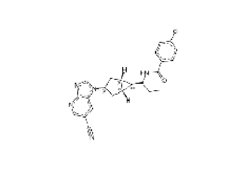 CCC(NC(=O)c1ccc(Cl)cc1)[C@H]1[C@@H]2C[C@@H](n3cnc4ncc(C#N)cc43)C[C@@H]21